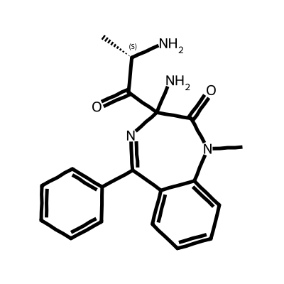 C[C@H](N)C(=O)C1(N)N=C(c2ccccc2)c2ccccc2N(C)C1=O